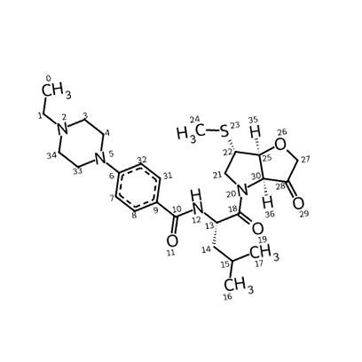 CCN1CCN(c2ccc(C(=O)N[C@@H](CC(C)C)C(=O)N3C[C@H](SC)[C@H]4OCC(=O)[C@H]43)cc2)CC1